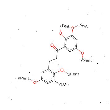 CCCCCOc1cc(CCC(=O)c2cc(OCCCCC)cc(OCCCCC)c2OCCCCC)c(OCCCCC)c(OC)c1